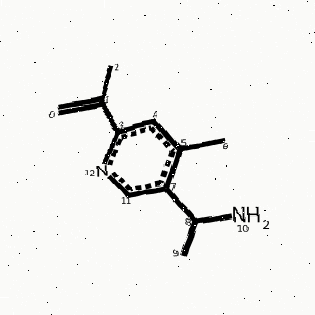 C=C(C)c1cc(C)c(C(C)N)cn1